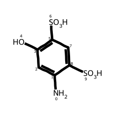 Nc1cc(O)c(S(=O)(=O)O)cc1S(=O)(=O)O